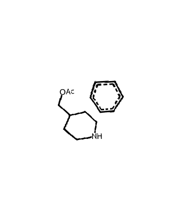 CC(=O)OCC1CCNCC1.c1ccccc1